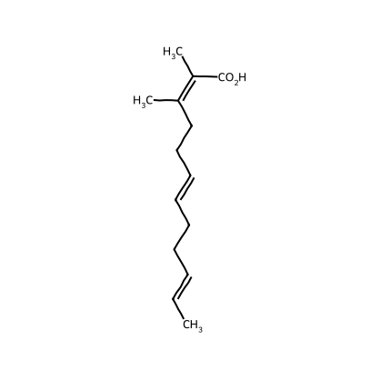 CC=CCCC=CCCC(C)=C(C)C(=O)O